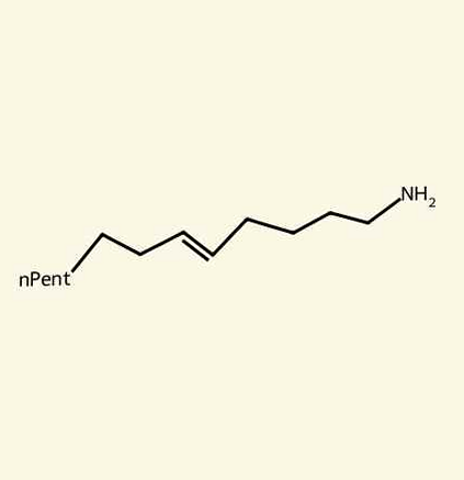 CCCCCCCC=CCCCCN